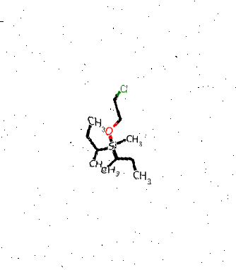 CCC(C)[Si](C)(OCCCl)C(C)CC